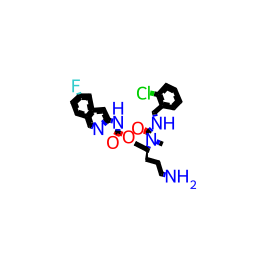 CN(C(=O)NCc1ccccc1Cl)[C@@H](CCCN)COC(=O)Nc1cc2cc(F)ccc2cn1